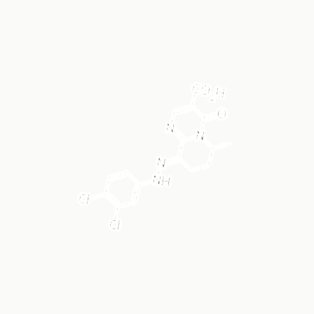 CC1CCC(=NNc2ccc(Cl)c(Cl)c2)c2ncc(C(=O)O)c(=O)n21